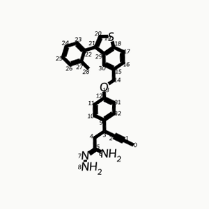 CC#CC(C/C(N)=N/N)c1ccc(OCc2ccc3scc(-c4ccccc4C)c3c2)cc1